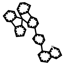 c1ccc2c(c1)-c1ccccc1C21c2ccccc2-c2ccc(-c3ccc(-c4cccc5cccnc45)cc3)cc21